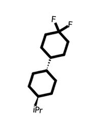 CC(C)[C@H]1CC[C@H](C2CCC(F)(F)CC2)CC1